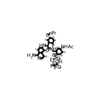 CCCOc1ccc(F)c(C(Nc2ccc3c(N)nccc3c2)C(=O)NCc2cc(NC(C)=O)ccc2S(=O)(=O)CC)c1.O=C(O)C(F)(F)F